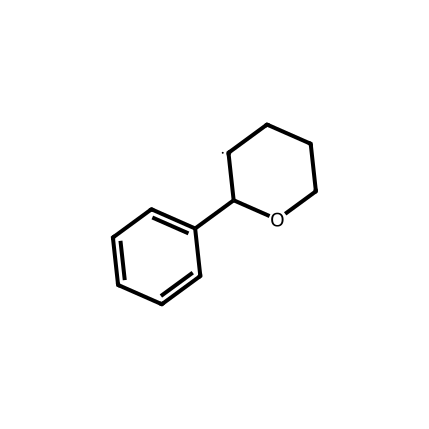 [CH]1CCCOC1c1ccccc1